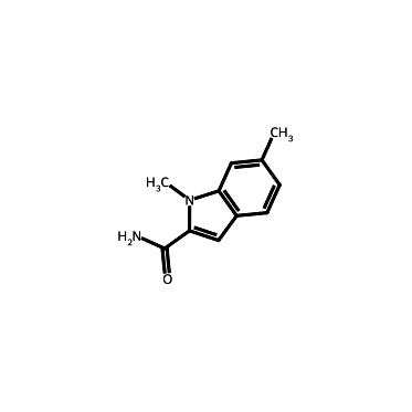 Cc1ccc2cc(C(N)=O)n(C)c2c1